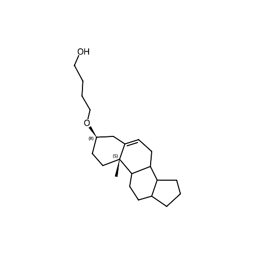 C[C@@]12CC[C@@H](OCCCCO)CC1=CCC1C3CCCC3CCC12